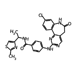 Cc1nc(C(C)NC(=O)c2ccc(Nc3ncc4c(n3)-c3ccc(Cl)cc3NC(=O)C4)cc2)cs1